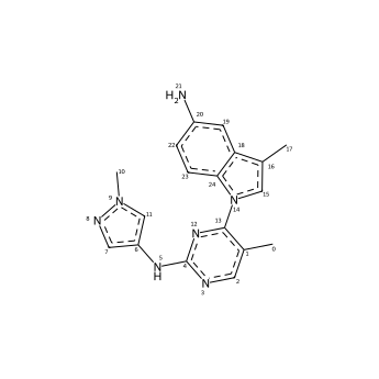 Cc1cnc(Nc2cnn(C)c2)nc1-n1cc(C)c2cc(N)ccc21